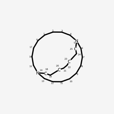 C1CCCCN2CCCCCCCCN(CCC1)CCCCCCCC2